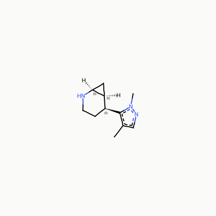 Cc1cnn(C)c1[C@H]1CCN[C@H]2C[C@H]21